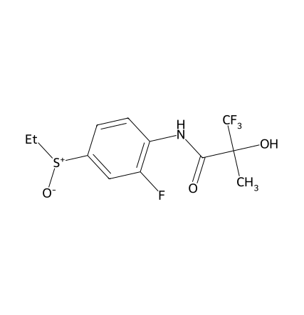 CC[S+]([O-])c1ccc(NC(=O)C(C)(O)C(F)(F)F)c(F)c1